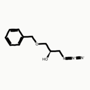 [N-]=[N+]=NC[C@@H](O)COCc1ccccc1